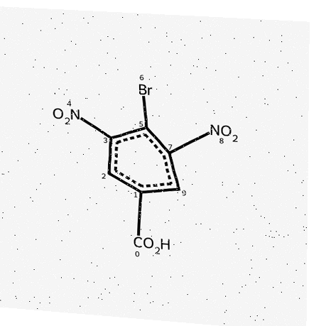 O=C(O)c1cc([N+](=O)[O-])c(Br)c([N+](=O)[O-])c1